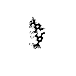 C=Cc1ccc(-c2c[nH]nc2C(F)(F)F)cc1C(SC(c1cc(-c2c[nH]nc2C(F)(F)F)ccc1C=C)C(F)(F)F)C(F)(F)F